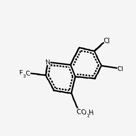 O=C(O)c1cc(C(F)(F)F)nc2cc(Cl)c(Cl)cc12